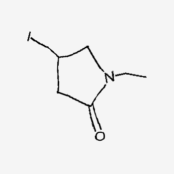 CN1CC(I)CC1=O